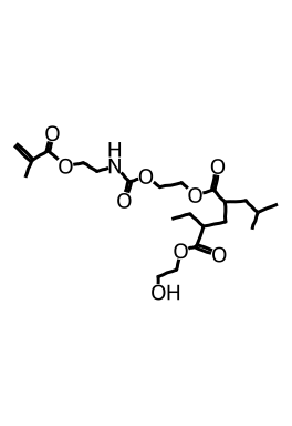 C=C(C)C(=O)OCCNC(=O)OCCOC(=O)C(CC(C)C)CC(CC)C(=O)OCCO